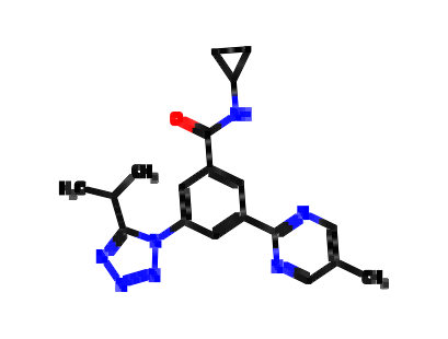 Cc1cnc(-c2cc(C(=O)NC3CC3)cc(-n3nnnc3C(C)C)c2)nc1